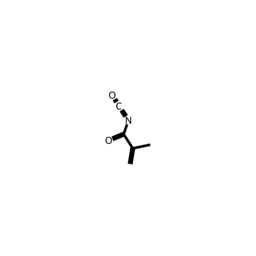 C=C(C)C(=O)N=C=O